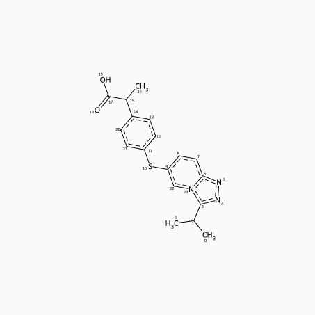 CC(C)c1nnc2ccc(Sc3ccc(C(C)C(=O)O)cc3)cn12